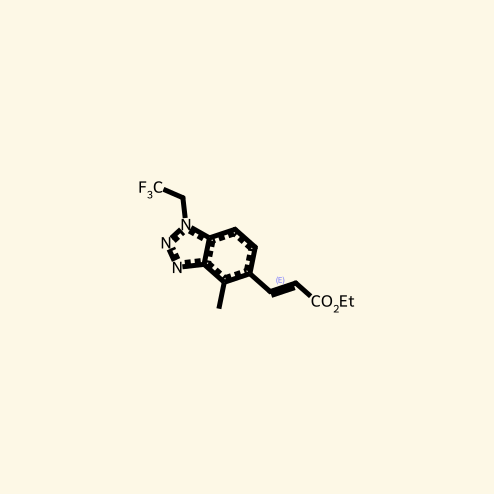 CCOC(=O)/C=C/c1ccc2c(nnn2CC(F)(F)F)c1C